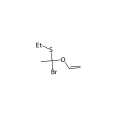 C=COC(C)(Br)SCC